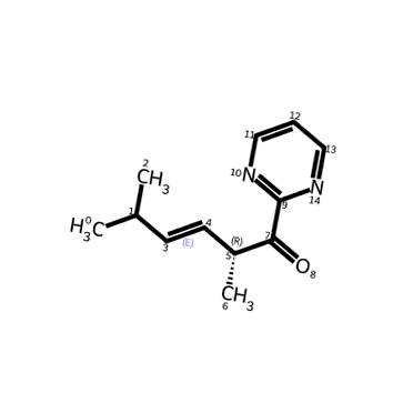 CC(C)/C=C/[C@@H](C)C(=O)c1ncccn1